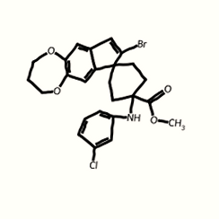 COC(=O)C1(Nc2cccc(Cl)c2)CCC2(CC1)C(Br)=Cc1cc3c(cc12)OCCCO3